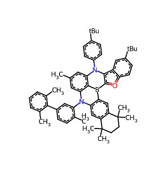 Cc1cc2c3c(c1)N(c1ccc(C(C)(C)C)cc1)c1c(oc4ccc(C(C)(C)C)cc14)B3c1cc3c(cc1N2c1cc(-c2c(C)cccc2C)ccc1C)C(C)(C)CCC3(C)C